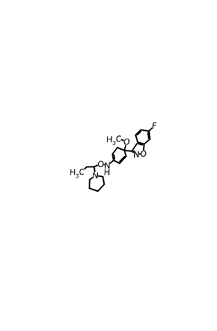 CCC(ONC1=CCC(OC)(c2noc3cc(F)ccc23)C=C1)N1CCCCC1